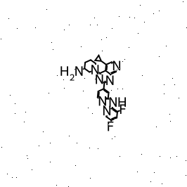 N[C@H]1CCCN(c2nc(-c3ccnc(Nc4ncc(F)cc4F)c3)nc3cncc(C4CC4)c23)C1